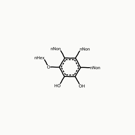 CCCCCCCCCc1c(O)c(O)c(OCCCCCC)c(CCCCCCCCC)c1CCCCCCCCC